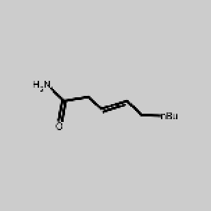 [CH2]CCCCC=CCC(N)=O